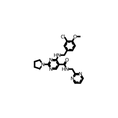 COc1ccc(CNc2nc(N3[CH]CCC3)ncc2C(=O)NCc2ncccn2)cc1Cl